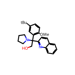 COc1ccc(C(C)(C)C)cc1C(CO)(c1ccc2ccccc2n1)N1CCCC1